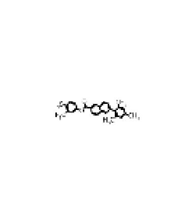 Cc1cc(C)c(-c2ccc3cc(C(=O)Oc4ccc(C)c(C(F)(F)F)c4)ccc3c2)c(C)c1